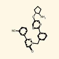 N#Cc1cccc(-c2ccc(=O)n(Cc3cccc(-c4ncc(O[C@H]5CCC[C@H]5N)cn4)c3)n2)c1